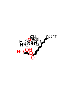 CCCCCCCCC=CCCCCCCCC(=O)OCC(O)CO.C[Si](C)(C)O[Si](C)(C)C